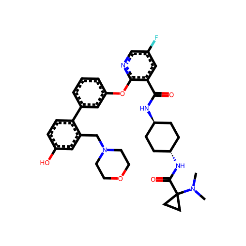 CN(C)C1(C(=O)N[C@H]2CC[C@H](NC(=O)c3cc(F)cnc3Oc3cccc(-c4ccc(O)cc4CN4CCOCC4)c3)CC2)CC1